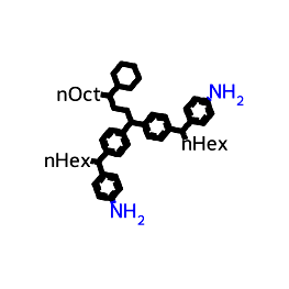 CCCCCCCCC(CCC(c1ccc(C(CCCCCC)c2ccc(N)cc2)cc1)c1ccc(C(CCCCCC)c2ccc(N)cc2)cc1)C1CCCCC1